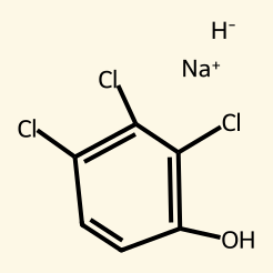 Oc1ccc(Cl)c(Cl)c1Cl.[H-].[Na+]